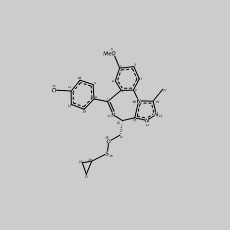 COc1ccc2c(c1)C(c1ccc(Cl)cc1)=N[C@@H](COSC1CC1)c1nnc(C)n1-2